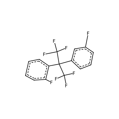 Fc1cccc(C(c2ccccc2F)(C(F)(F)F)C(F)(F)F)c1